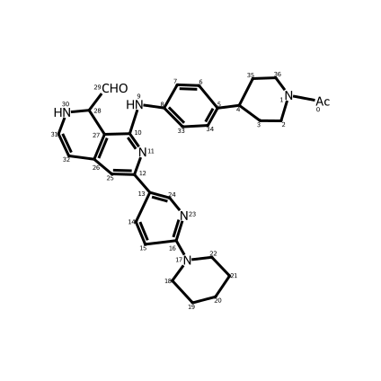 CC(=O)N1CCC(c2ccc(Nc3nc(-c4ccc(N5CCCCC5)nc4)cc4c3C(C=O)NC=C4)cc2)CC1